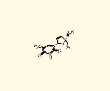 C#C[C@@]1(CO)C=C[C@@H](n2cc(C)c(=O)[nH]c2=O)O1